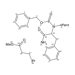 CCCCCN(C(=O)OCc1ccccc1)C(Cc1ccccc1)C(N)=O.COC(=O)CCC(C)C